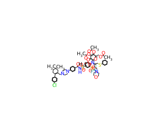 CC(=O)OC[C@H]1O[C@@H](N(c2ccc(S(=O)(=O)NC(=O)c3ccc(N4CCN(CC5=C(c6ccc(Cl)cc6)CCC(C)(C)C5)CC4)cc3)cc2S(=O)(=O)C(F)(F)F)[C@H](CCN2CCOCC2)CSc2ccccc2)[C@H](OC(C)=O)[C@@H](OC(C)=O)[C@H]1OC(C)=O